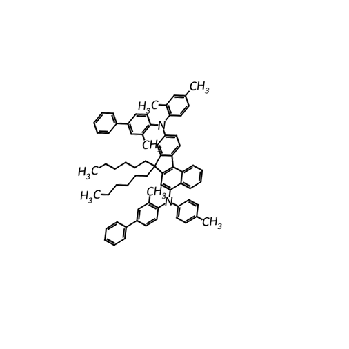 CCCCCCC1(CCCCCC)c2cc(N(c3ccc(C)cc3C)c3ccc(-c4ccccc4)cc3C)ccc2-c2c1cc(N(c1ccc(C)cc1)c1ccc(-c3ccccc3)cc1C)c1ccccc21